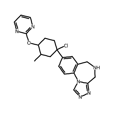 CC1CC(Cl)(c2ccc3c(c2)CNCc2nncn2-3)CCC1Oc1ncccn1